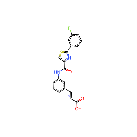 O=C(O)/C=C/c1cccc(NC(=O)c2csc(-c3cccc(F)c3)n2)c1